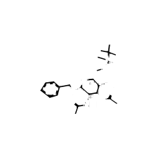 CC(=O)N[C@H]1[C@@H](OCc2ccccc2)O[C@H](CO[Si](C)(C)C(C)(C)C)[C@@H](F)[C@@H]1OC(C)=O